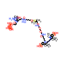 CCN1\C(=C/C=C/C=C/C2=[N+](CCCCCC(=O)NCCOCCOCCNOCCC(C)(C)SSCOCCCCCNC(=O)NCC#Cc3cn(C4CC[C@@H](COP(=O)(O)O[PH](=O)OP(=O)(O)O)O4)c(/N=C(/N)NC)c3CO)c3ccc(S(=O)(=O)O)cc3C2(C)C)C(C)(C)c2cc(S(=O)(=O)O)ccc21